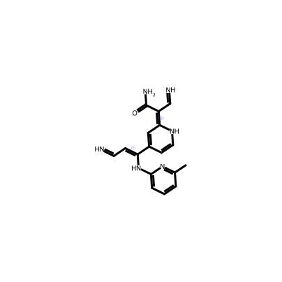 Cc1cccc(N/C(=C\C=N)C2=C/C(=C(/C=N)C(N)=O)NC=C2)n1